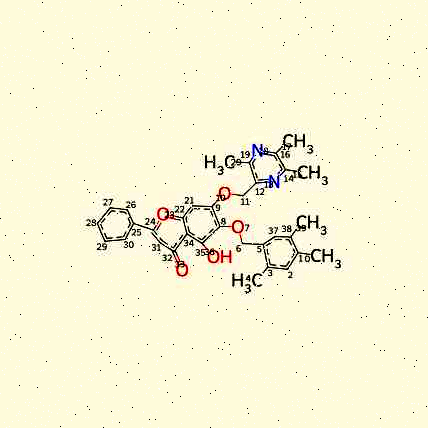 Cc1cc(C)c(COc2c(OCc3nc(C)c(C)nc3C)cc3oc(-c4ccccc4)cc(=O)c3c2O)cc1C